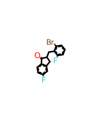 O=C1c2ccc(F)cc2CC1Cc1c(F)cccc1Br